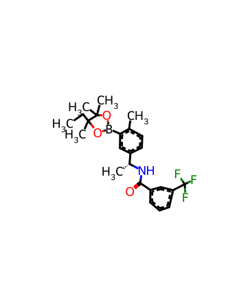 CCC1(C)OB(c2cc([C@@H](C)NC(=O)c3cccc(C(F)(F)F)c3)ccc2C)OC1(C)C